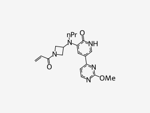 C=CC(=O)N1CC(N(CCC)c2cc(-c3ccnc(OC)n3)c[nH]c2=O)C1